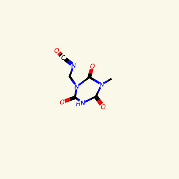 Cn1c(=O)[nH]c(=O)n(CN=C=O)c1=O